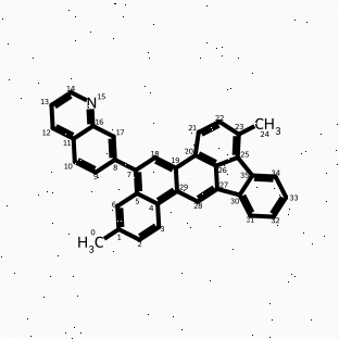 Cc1ccc2c(c1)c(-c1ccc3cccnc3c1)cc1c3ccc(C)c4c3c(cc21)-c1ccccc1-4